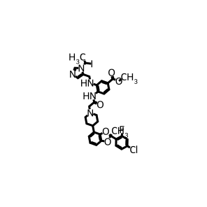 COC(=O)c1ccc(NC(=O)CN2CCC(c3cccc4c3OC(C)(c3ccc(Cl)cc3F)O4)CC2)c(NCc2cncn2C(C)I)c1